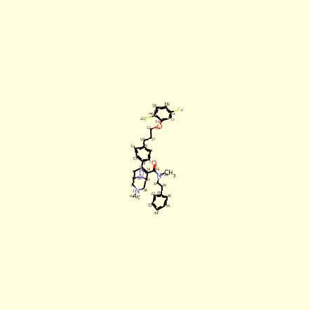 CC(=O)N1CC2CC(c3ccc(CCCOc4cc(F)ccc4F)cc3)=C(C(=O)N(C)CCc3ccccc3)C(C1)N2